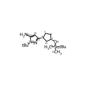 CC(C)(C)n1nc([C@H]2CC[C@@H](O[Si](C)(C)C(C)(C)C)C2)cc1N